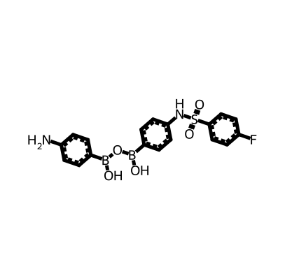 Nc1ccc(B(O)OB(O)c2ccc(NS(=O)(=O)c3ccc(F)cc3)cc2)cc1